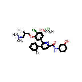 CCc1ccccc1-c1ccc(C(=O)NC2CCCC(O)C2)nc1-c1ccc(Cl)c(OCC(C)CN(C)C)c1.Cl.O=C(O)O